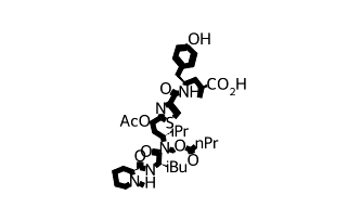 CCCC(=O)OCN(C(=O)[C@@H](NC(=O)[C@H]1CCCCN1C)C(C)CC)[C@H](C[C@H](OC(C)=O)c1nc(C(=O)N[C@@H](Cc2ccc(O)cc2)C[C@H](C)C(=O)O)cs1)C(C)C